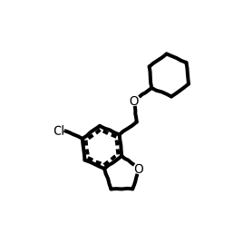 Clc1cc2c(c(COC3CCCCC3)c1)OCC2